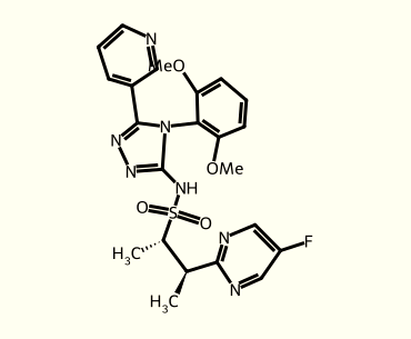 COc1cccc(OC)c1-n1c(NS(=O)(=O)[C@@H](C)[C@H](C)c2ncc(F)cn2)nnc1-c1cccnc1